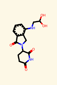 O=C1CCC(N2Cc3c(NCC(O)O)cccc3C2=O)C(=O)N1